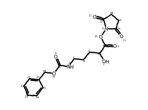 O=C(NCCCC(O)C(=O)ON1C(=O)CCC1=O)OCc1ccccc1